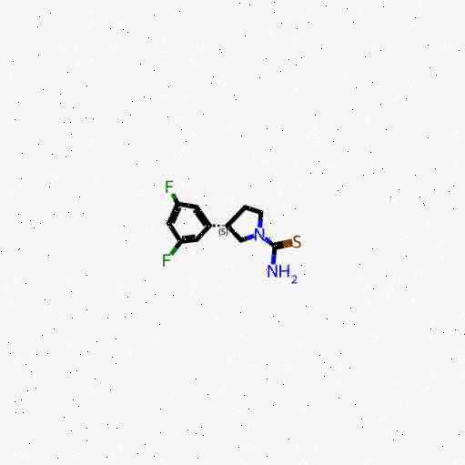 NC(=S)N1CC[C@@H](c2cc(F)cc(F)c2)C1